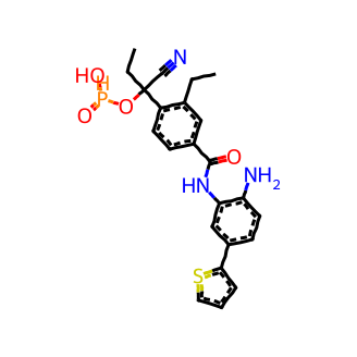 CCc1cc(C(=O)Nc2cc(-c3cccs3)ccc2N)ccc1C(C#N)(CC)O[PH](=O)O